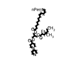 C=CCC(C)(CC)CCC(=O)OCC(COC(=O)CCCCCCC/C=C\C/C=C\CCCCC)COC(=O)C1CCN(c2ccncc2)CC1